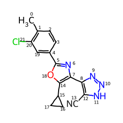 Cc1ccc(-c2nc(-c3nn[nH]c3C#N)c(C3CC3)o2)cc1Cl